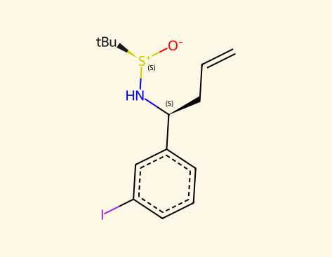 C=CC[C@H](N[S@+]([O-])C(C)(C)C)c1cccc(I)c1